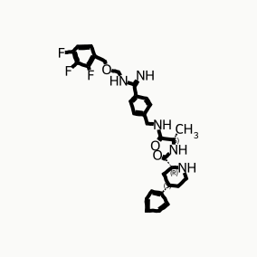 C[C@H](NC(=O)[C@H]1C[C@@H](c2ccccc2)CCN1)C(=O)NCc1ccc(C(=N)NCOCc2ccc(F)c(F)c2F)cc1